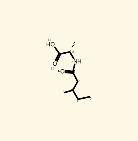 CCC(C)CC(=O)N[C@@H](C)C(=O)O